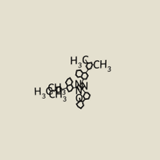 Cc1cc(C)cc(-c2ccc(-c3nc(-c4ccc(-c5ccc(C(C)(C)C)cc5)c5ccccc45)nc(-c4cccc5c4oc4ccccc45)n3)c3ccccc23)c1